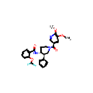 COc1cc(C(=O)N2CC[C@@H](NC(=O)c3ccccc3OC(F)F)[C@H](c3ccccc3)C2)cnc1OC